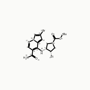 CC[C@H]1CN(C(=O)OC(C)(C)C)C[C@H]1Nc1c(C(N)=O)cnn2cc(Br)cc12